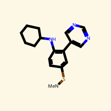 CNSc1ccc(NC2CCCCC2)c(-c2cncnc2)c1